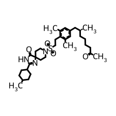 CC(=O)CCCC[C@H](C)Cc1cc(C)c(CCS(=O)(=O)N2CCC3(CC2)N=C(C2CCC(C)CC2)NC3=O)c(C)c1